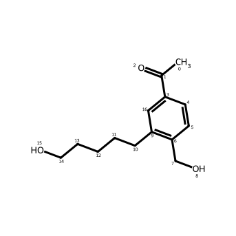 CC(=O)c1ccc(CO)c(CCCCCO)c1